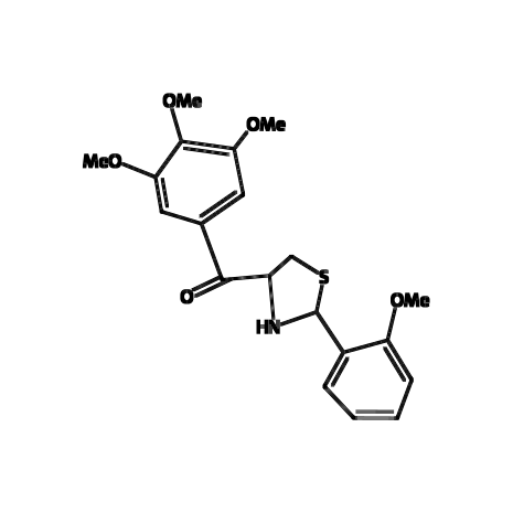 COc1ccccc1C1NC(C(=O)c2cc(OC)c(OC)c(OC)c2)CS1